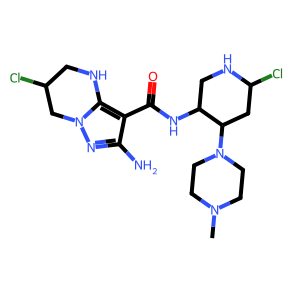 CN1CCN(C2CC(Cl)NCC2NC(=O)c2c(N)nn3c2NCC(Cl)C3)CC1